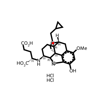 COc1cc(O)c2c3c1C[C@@H]1[C@@H]4CC[C@H](N[C@@H](CCC(=O)O)C(=O)O)[C@H](O2)[C@]34CCN1CC1CC1.Cl.Cl